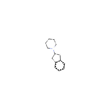 c1ccc2c(c1)CC(N1CCCCC1)C2